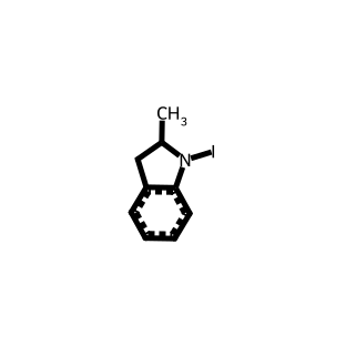 CC1Cc2ccccc2N1I